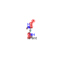 C=C(C)C(=O)OCCCCOC(=O)C1CCC(C(=O)Oc2c(/C=N/Nc3ccc4ccccc4c3)cc(CCc3ccc(CCc4cc(/C=N/Nc5ccc6ccccc6c5)c(OC(=O)C5CCC(C(=O)OCCCCC)CC5)c5ccccc45)c(F)c3C)c3ccccc23)CC1